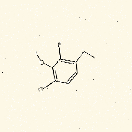 CCc1ccc(Cl)c(OC)c1F